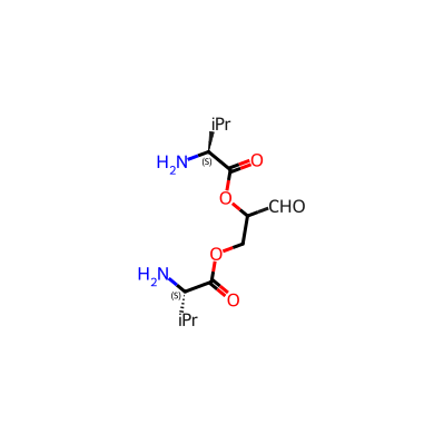 CC(C)[C@H](N)C(=O)OCC(C=O)OC(=O)[C@@H](N)C(C)C